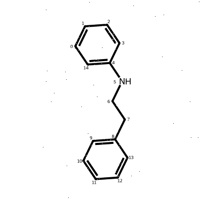 [c]1cccc(NCCc2ccccc2)c1